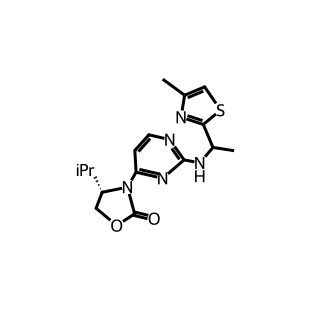 Cc1csc(C(C)Nc2nccc(N3C(=O)OC[C@@H]3C(C)C)n2)n1